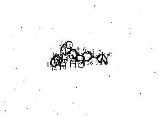 Cn1cc(-c2ccc(-c3cc4c(nn3)N([C@H]3CC5CC[C@H](C3)N5)CCO4)c(O)c2)cn1